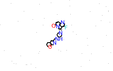 O=c1ccc2ncc(F)c3c2n1C[C@H]3CN1CCC(NCc2cc3c(cn2)OCCC3)CC1